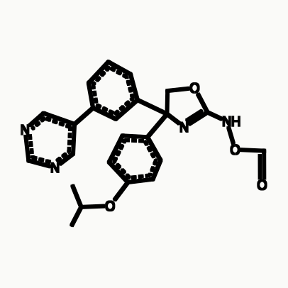 CC(C)Oc1ccc(C2(c3cccc(-c4cncnc4)c3)COC(NOC=O)=N2)cc1